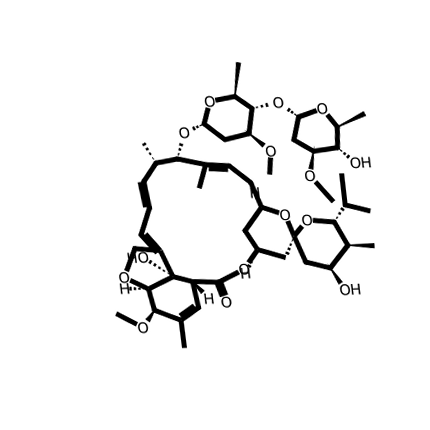 CO[C@H]1C[C@H](O[C@H]2[C@H](C)O[C@@H](O[C@@H]3/C(C)=C/C[C@@H]4C[C@@H](C[C@]5(C[C@H](O)[C@H](C)[C@@H](C(C)C)O5)O4)OC(=O)[C@@H]4C=C(C)[C@@H](OC)[C@H]5OC/C(=C\C=C\[C@@H]3C)[C@]54O)C[C@@H]2OC)O[C@@H](C)[C@@H]1O